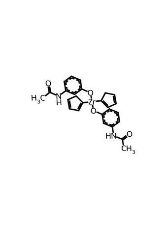 CC(=O)Nc1cccc([O][Zr]([O]c2cccc(NC(C)=O)c2)([C]2=CC=CC2)[C]2=CC=CC2)c1